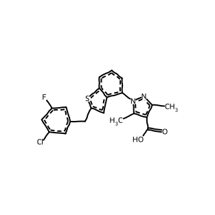 Cc1nn(-c2cccc3sc(Cc4cc(F)cc(Cl)c4)cc23)c(C)c1C(=O)O